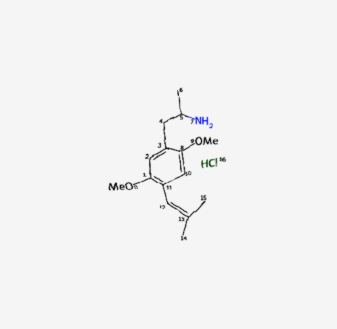 COc1cc(CC(C)N)c(OC)cc1C=C(C)C.Cl